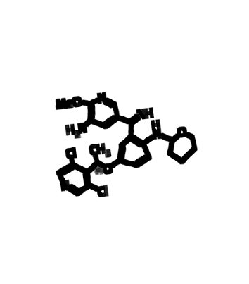 COc1ncc(C(=N)c2cc(O[C@H](C)c3c(Cl)cncc3Cl)ccc2NC2CCCCO2)cc1N